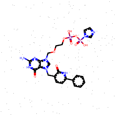 Nc1nc2c(c(=O)[nH]1)[n+](Cc1ccc(-c3ccccc3)[nH]c1=O)cn2COCCOP(=O)(O)OP(=O)(O)n1ccnc1